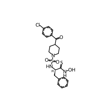 O=C(c1ccc(Cl)cc1)C1CCN(S(=O)(=O)N[C@H](Cc2ccccc2)C(=S)NO)CC1